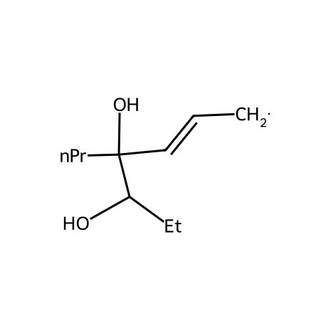 [CH2]C=CC(O)(CCC)C(O)CC